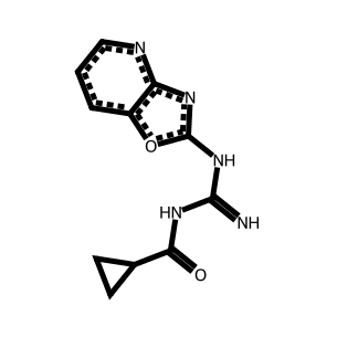 N=C(NC(=O)C1CC1)Nc1nc2ncccc2o1